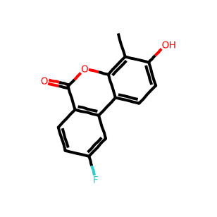 Cc1c(O)ccc2c1oc(=O)c1ccc(F)cc12